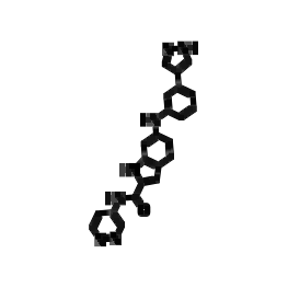 O=C(Nc1ccnnc1)c1cc2ccc(Nc3cccc(-c4cn[nH]c4)c3)cc2[nH]1